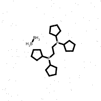 BB.C1CCC(P(CCP(C2CCCC2)C2CCCC2)C2CCCC2)C1